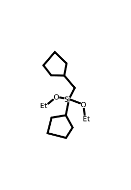 CCO[Si](CC1CCCC1)(OCC)C1CCCC1